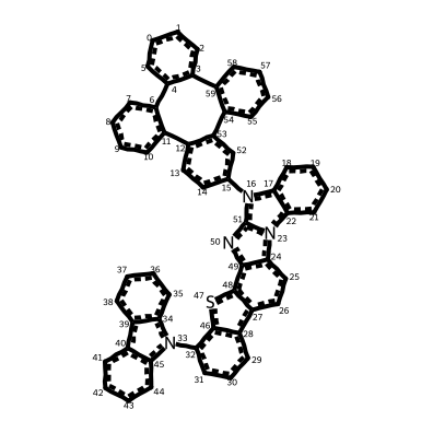 c1ccc2c(c1)-c1ccccc1-c1ccc(-n3c4ccccc4n4c5ccc6c7cccc(-n8c9ccccc9c9ccccc98)c7sc6c5nc34)cc1-c1ccccc1-2